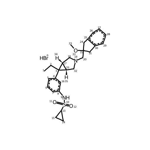 Br.CCC1(c2cccc(NS(=O)(=O)C3CC3)c2)[C@@H]2CN(CC3(OC)Cc4ccccc4C3)C[C@@H]21